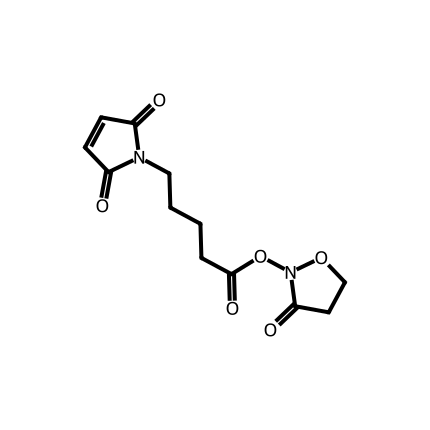 O=C(CCCCN1C(=O)C=CC1=O)ON1OCCC1=O